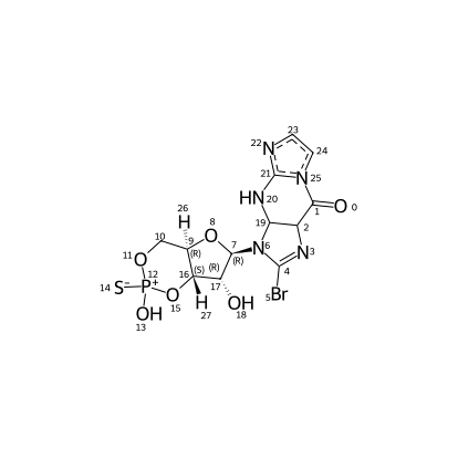 O=C1C2N=C(Br)N([C@@H]3O[C@@H]4CO[P+](O)([S-])O[C@H]4[C@H]3O)C2Nc2nccn21